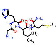 CSCCC(NC(=O)C(CC(C)C)NC(=O)C(Cc1c[nH]cn1)NC(=O)CN)C(N)=O